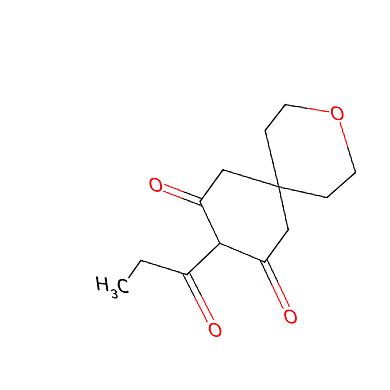 CCC(=O)C1C(=O)CC2(CCOCC2)CC1=O